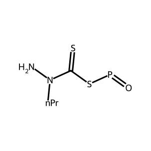 CCCN(N)C(=S)SP=O